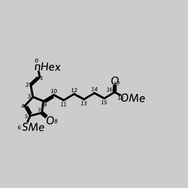 CCCCCCC=CC1C=C(SC)C(=O)C1=CCCCCCC(=O)OC